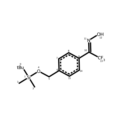 CC(C)(C)[Si](C)(C)OCc1ccc(C(=NO)C(F)(F)F)cc1